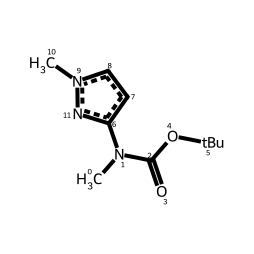 CN(C(=O)OC(C)(C)C)c1ccn(C)n1